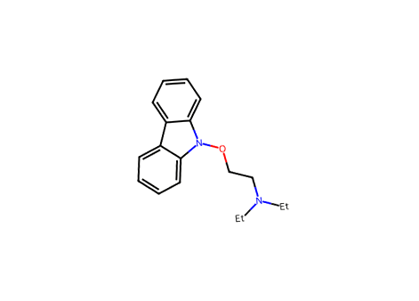 CCN(CC)CCOn1c2ccccc2c2ccccc21